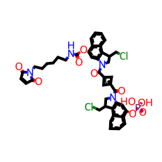 O=C(NCCCCCCN1C(=O)C=CC1=O)Oc1cc2c(c3ccccc13)C(CCl)CN2C(=O)C12CC(C(=O)N3CC(CCl)c4c3cc(OP(=O)(O)O)c3ccccc43)(C1)C2